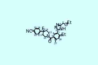 CCOCc1nnc(-c2cc(C(=O)N3CCC(F)(c4ccc(C#N)cc4)CC3)c(C)cc2CC)[nH]1